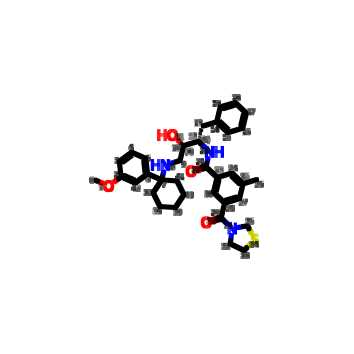 COc1cccc(C2(NC[C@@H](O)[C@H](Cc3ccccc3)NC(=O)c3cc(C)cc(C(=O)N4CCSC4)c3)CCCCC2)c1